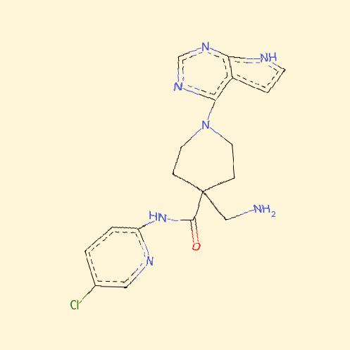 NCC1(C(=O)Nc2ccc(Cl)cn2)CCN(c2ncnc3[nH]ccc23)CC1